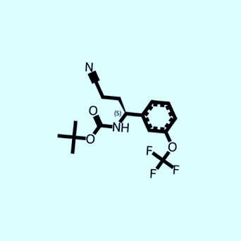 CC(C)(C)OC(=O)N[C@@H](CCC#N)c1cccc(OC(F)(F)F)c1